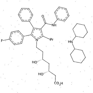 C1CCC(NC2CCCCC2)CC1.CC(C)c1c(C(=O)Nc2ccccc2)c(-c2ccccc2)c(-c2ccc(F)cc2)n1CC[C@@H](O)C[C@@H](O)CC(=O)O